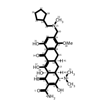 B=C1C(C(N)=O)=C(O)[C@@H](N(C)C)[C@@H]2C[C@@H]3Cc4c(OC)c(CN(C)CC5CCCC5)cc(O)c4C(=O)C3=C(O)[C@]12O